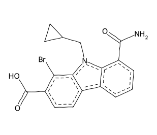 NC(=O)c1cccc2c3ccc(C(=O)O)c(Br)c3n(CC3CC3)c12